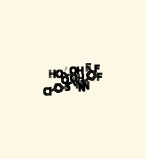 C[C@@H](O)C(CO)OC(Sc1ccc(Cl)cc1)[C@@H](O)Cn1cc(-c2cc(F)c(F)c(F)c2)nn1